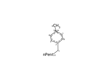 CCCCCCc1cc[n+](C)cc1